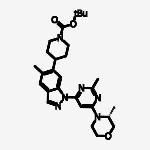 Cc1nc(N2CCOC[C@H]2C)cc(-n2ncc3cc(C)c(C4CCN(C(=O)OC(C)(C)C)CC4)cc32)n1